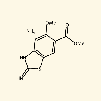 COC(=O)c1cc2sc(=N)[nH]c2cc1OC.N